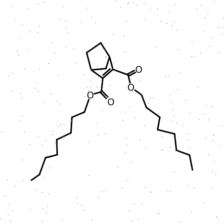 CCCCCCCCOC(=O)C1=C(C(=O)OCCCCCCCC)C2CCC1C2